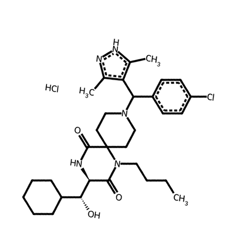 CCCCN1C(=O)[C@@H]([C@H](O)C2CCCCC2)NC(=O)C12CCN(C(c1ccc(Cl)cc1)c1c(C)n[nH]c1C)CC2.Cl